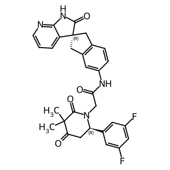 CC1(C)C(=O)C[C@H](c2cc(F)cc(F)c2)N(CC(=O)Nc2ccc3c(c2)C[C@@]2(C3)C(=O)Nc3ncccc32)C1=O